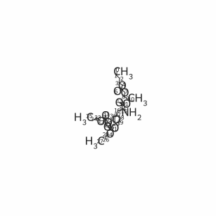 CCCCOC(=O)OC[C@H](C)OC(=O)[C@@H](N)Cc1ccc(OC(=O)OCCC)c(OC(=O)OCCC)c1